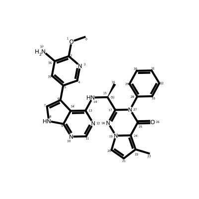 COc1ncc(-c2c[nH]c3ncnc(N[C@@H](C)c4nn5ccc(C)c5c(=O)n4-c4ccccc4)c23)cc1N